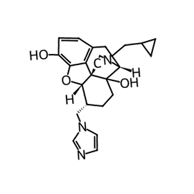 Oc1ccc2c3c1O[C@H]1[C@@H](Cn4ccnc4)CCC4(O)[C@@H](C2)N(CC2CC2)CC[C@]314